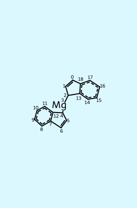 C1=C[CH]([Mg][CH]2C=Cc3ccccc32)c2ccccc21